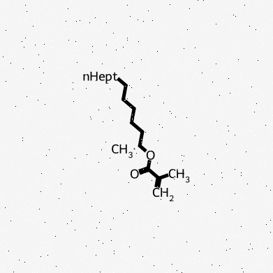 C=C(C)C(=O)OCCCCCCCCCCCCC.[CH3]